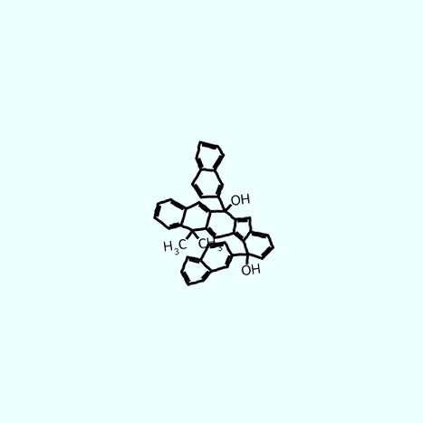 CC1(C)C2=CC3=C4C(=CC=CC4(O)c4ccc5ccccc5c4)C=C3C(O)(c3ccc4ccccc4c3)C2=Cc2ccccc21